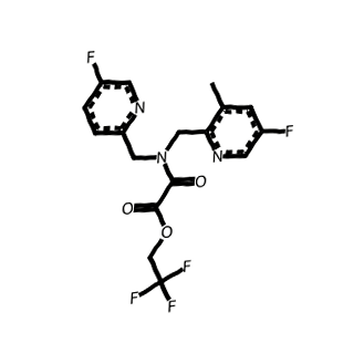 Cc1cc(F)cnc1CN(Cc1ccc(F)cn1)C(=O)C(=O)OCC(F)(F)F